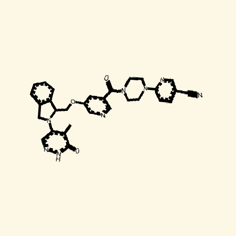 Cc1c(N2Cc3ccccc3C2COc2cncc(C(=O)N3CCN(c4ccc(C#N)cn4)CC3)c2)cn[nH]c1=O